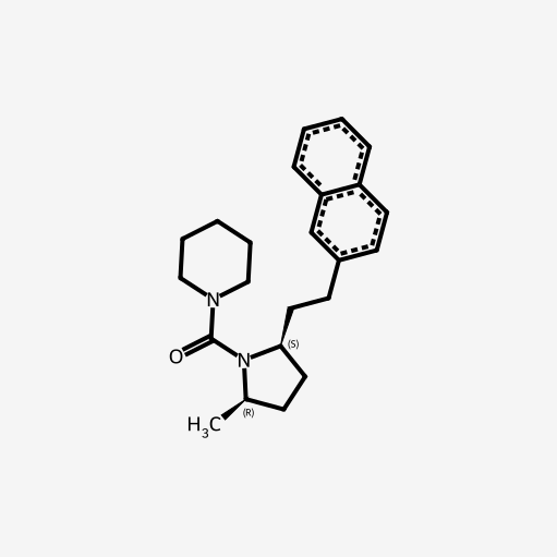 C[C@@H]1CC[C@H](CCc2ccc3ccccc3c2)N1C(=O)N1CCCCC1